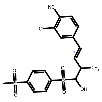 CS(=O)(=O)c1ccc(S(=O)(=O)C(O)C(/C=C/c2ccc(C#N)c(Cl)c2)C(F)(F)F)cc1